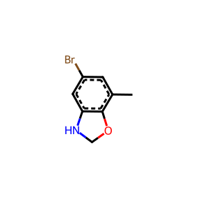 Cc1cc(Br)cc2c1OCN2